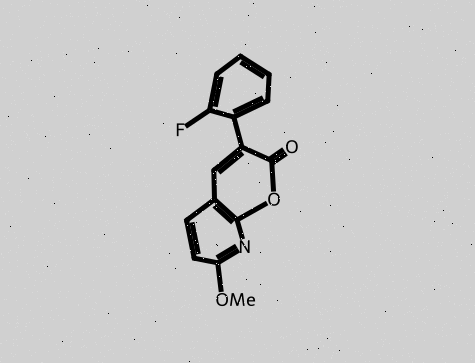 COc1ccc2cc(-c3ccccc3F)c(=O)oc2n1